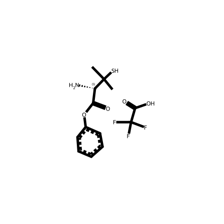 CC(C)(S)[C@@H](N)C(=O)Oc1ccccc1.O=C(O)C(F)(F)F